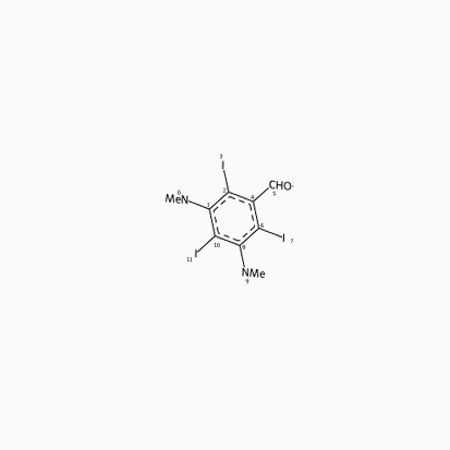 CNc1c(I)c([C]=O)c(I)c(NC)c1I